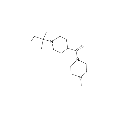 CCC(C)(C)N1CCC(C(=O)N2CCN(C)CC2)CC1